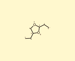 [CH2]CC1OCC(CC)O1